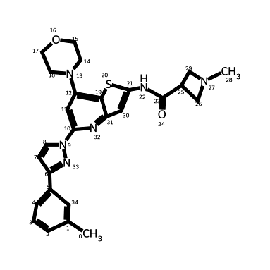 Cc1cccc(-c2ccn(-c3cc(N4CCOCC4)c4sc(NC(=O)C5CN(C)C5)cc4n3)n2)c1